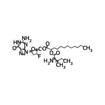 CCCCCCCCCCC(OC(=O)[C@@H](N)[C@@H](C)CC)C(=O)OC[C@H]1O[C@@H](n2cnc3c(=O)[nH]c(N)nc32)CC1F